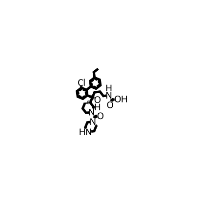 CCc1cccc(-c2c(Cl)cccc2[C@](O)(CCCNC(=O)O)[C@@H]2CCCN(C(=O)N3CCNCC3)C2)c1